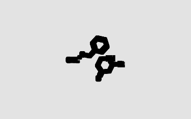 CCC1CC(=O)CCN1.O=COCc1ccccc1